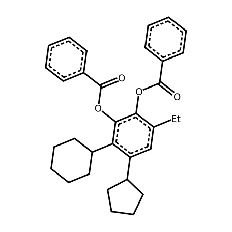 CCc1cc(C2CCCC2)c(C2CCCCC2)c(OC(=O)c2ccccc2)c1OC(=O)c1ccccc1